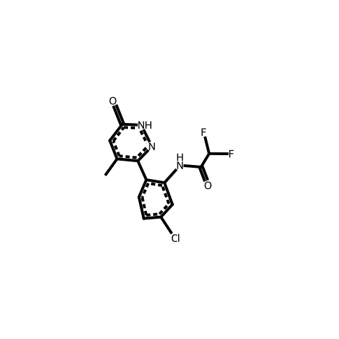 Cc1cc(=O)[nH]nc1-c1ccc(Cl)cc1NC(=O)C(F)F